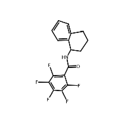 O=C(NC1CCCc2ccccc21)c1c(F)c(F)c(F)c(F)c1F